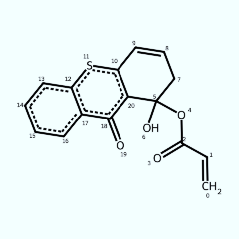 C=CC(=O)OC1(O)CC=Cc2sc3ccccc3c(=O)c21